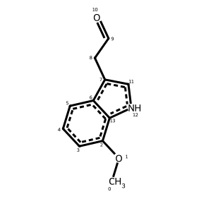 COc1cccc2c(CC=O)c[nH]c12